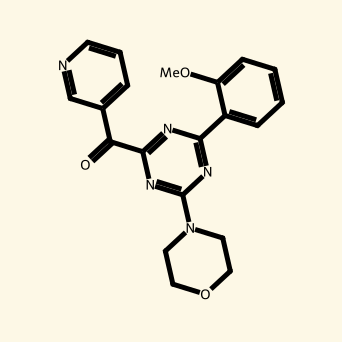 COc1ccccc1-c1nc(C(=O)c2cccnc2)nc(N2CCOCC2)n1